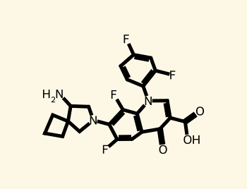 NC1CN(c2c(F)cc3c(=O)c(C(=O)O)cn(-c4ccc(F)cc4F)c3c2F)CC12CCC2